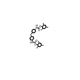 Cc1cc(C)c(OC(=O)Nc2ccc(Cc3ccc(NC(=O)Oc4c(C)cc(C)cc4C)cc3)cc2)c(C)c1